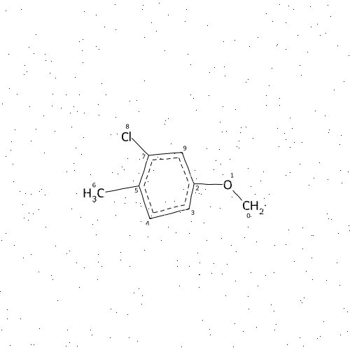 [CH2]Oc1ccc(C)c(Cl)c1